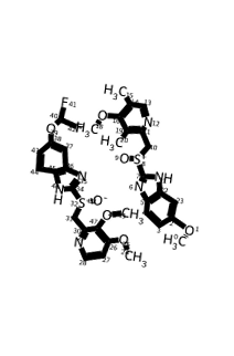 COc1ccc2nc([S+]([O-])Cc3ncc(C)c(OC)c3C)[nH]c2c1.COc1ccnc(C[S+]([O-])c2nc3cc(OC(F)F)ccc3[nH]2)c1OC